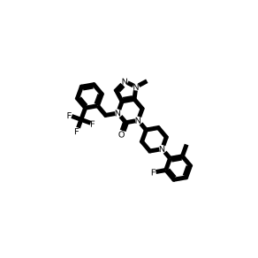 Cc1cccc(F)c1N1CCC(N2Cc3c(cnn3C)N(Cc3ccccc3C(F)(F)F)C2=O)CC1